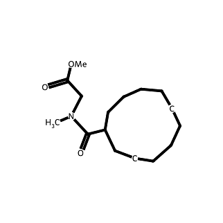 COC(=O)CN(C)C(=O)C1CCCCCCCCCC1